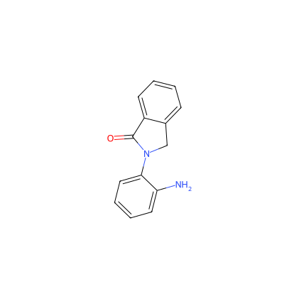 Nc1ccccc1N1Cc2ccccc2C1=O